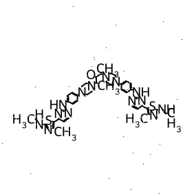 CCNc1nc(C)c(-c2ccnc(Nc3ccc(N4CCN(C(C)C(=O)C(C)N5CCN(c6ccc(Nc7nccc(-c8sc(NCC)nc8C)n7)cc6)CC5)CC4)cc3)n2)s1